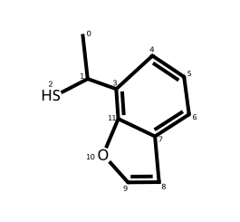 CC(S)c1cccc2ccoc12